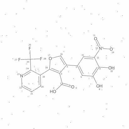 O=C(O)c1c(-c2cc(O)c(O)c([N+](=O)[O-])c2)coc1-c1cccnc1C(F)(F)F